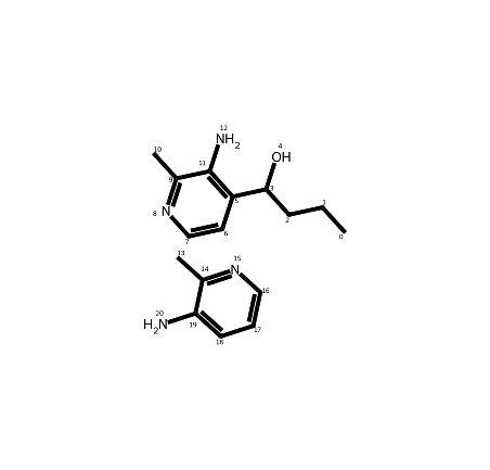 CCCC(O)c1ccnc(C)c1N.Cc1ncccc1N